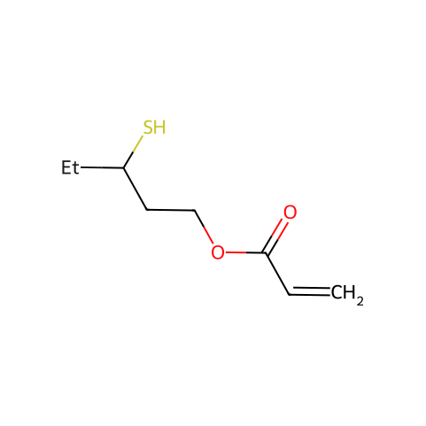 C=CC(=O)OCCC(S)CC